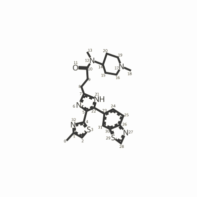 Cc1csc(-c2nc(CCC(=O)N(C)C3CCN(C)CC3)[nH]c2-c2ccc3ncsc3c2)n1